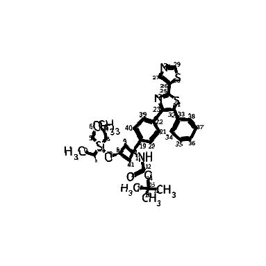 CC[Si](CC)(CC)O[C@H]1C[C@@](NC(=O)OC(C)(C)C)(c2ccc(C3N=C(c4cncs4)SC3c3ccccc3)cc2)C1